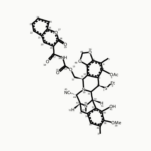 CCS[C@@H]1c2c(OC(C)=O)c(C)c3c(c2[C@H](COC(=O)NC(=O)c2cc4ccccc4oc2=O)N2C1[C@@H]1c4c(cc(C)c(OC)c4O)C[C@H]([C@@H]2C#N)N1C)OCO3